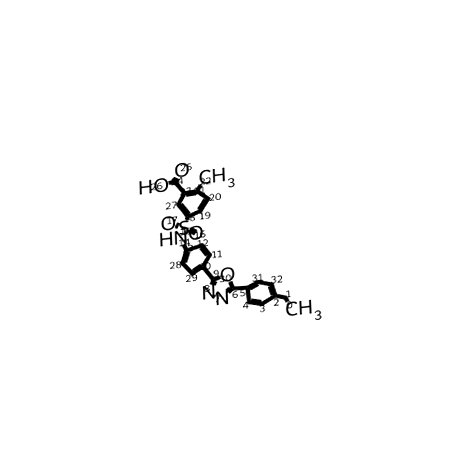 CCc1ccc(-c2nnc(-c3ccc(NS(=O)(=O)c4ccc(C)c(C(=O)O)c4)cc3)o2)cc1